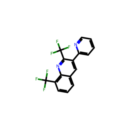 FC(F)(F)c1nc2c(C(F)(F)F)cccc2[c]c1-c1ccccn1